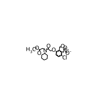 COC(=O)CN(C(=O)COc1ccc(Cl)c([N+](=O)[O-])c1C=O)C1CCCCC1